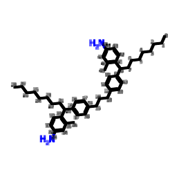 CCCCCCCCC(c1ccc(CCCc2ccc(C(CCCCCCCC)c3ccc(N)cc3C)cc2)cc1)c1ccc(N)cc1C